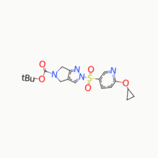 CC(C)(C)OC(=O)N1Cc2cn(S(=O)(=O)c3ccc(OC4CC4)nc3)nc2C1